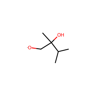 CC(C)C(C)(O)C[O]